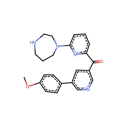 COc1ccc(-c2cncc(C(=O)c3cccc(N4CCCNCC4)n3)c2)cc1